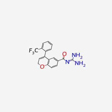 NC(N)=NC(=O)c1ccc2c(c1)C(c1ccccc1C(F)(F)F)=CCO2